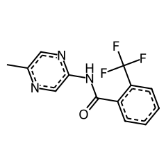 Cc1cnc(NC(=O)c2ccccc2C(F)(F)F)cn1